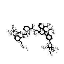 CCn1c(-c2cccnc2C(C)C)c(CC(C)(C)COC(=O)[C@@H]2CCCN(C(=O)[C@@H](NC(=O)OC(C)(C)C)NC3CC(Br)=CC[C@@H]3COC)N2)c2cc(B3OC(C)(C)C(C)(C)O3)ccc21